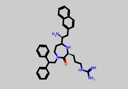 N=C(N)NCCC[C@@H]1NC([C@@H](N)Cc2ccc3ccccc3c2)CCN(CC(c2ccccc2)c2ccccc2)C1=O